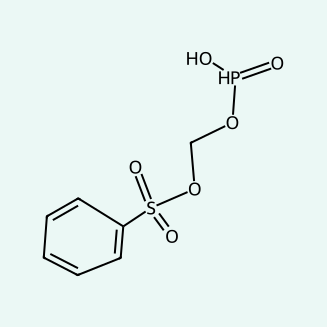 O=[PH](O)OCOS(=O)(=O)c1ccccc1